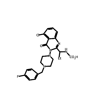 CCC(NC(=O)O)c1nc2cccc(Cl)c2c(=O)n1N1CCN(Cc2ccc(F)cc2)CC1